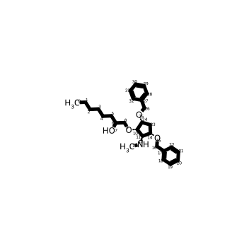 CCCCCCC(O)CO[C@H]1[C@H](NC)[C@@H](OCc2ccccc2)C[C@H]1OCc1ccccc1